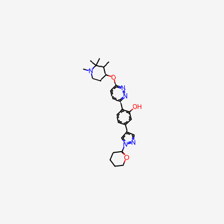 CC1C(Oc2ccc(-c3ccc(-c4cnn(C5CCCCO5)c4)cc3O)nn2)CCN(C)C1(C)C